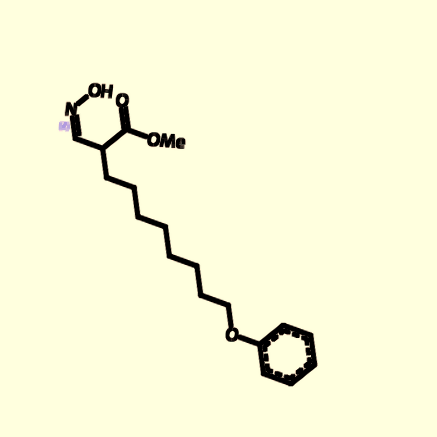 COC(=O)C(/C=N\O)CCCCCCCCOc1ccccc1